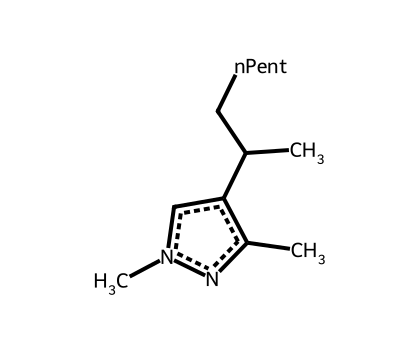 CCCCCCC(C)c1cn(C)nc1C